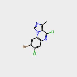 Cc1ncn2c1c(Cl)nc1cc(Cl)c(Br)cc12